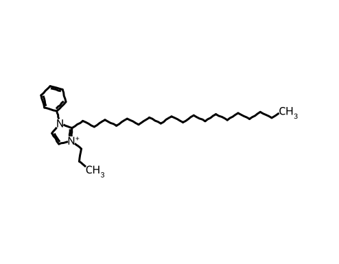 CCCCCCCCCCCCCCCCCCCc1n(-c2ccccc2)cc[n+]1CCC